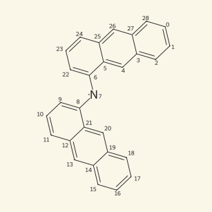 c1ccc2cc3c([N]c4cccc5cc6ccccc6cc45)cccc3cc2c1